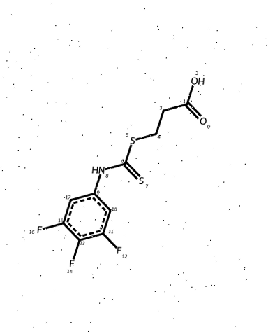 O=C(O)CCSC(=S)Nc1cc(F)c(F)c(F)c1